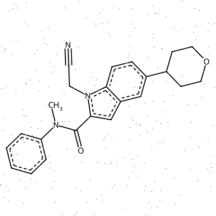 CN(C(=O)c1cc2cc(C3CCOCC3)ccc2n1CC#N)c1ccccc1